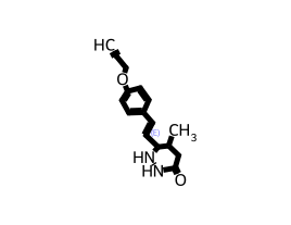 C#CCOc1ccc(/C=C/C2NNC(=O)CC2C)cc1